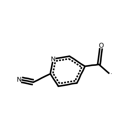 [CH2]C(=O)c1ccc(C#N)nc1